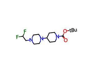 CC(C)(C)OC(=O)N1CCC(N2CCN(CC(F)F)CC2)CC1